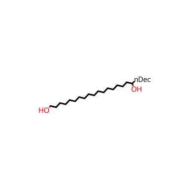 CCCCCCCCCCC(O)CCCCCCCCCCCCCCCCCO